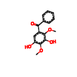 COc1c(O)cc(C(=O)c2ccccc2)c(OC)c1O